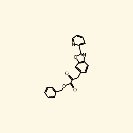 O=C(Cc1ccc2nc(-c3ccccn3)oc2c1)C(=O)OCc1ccccc1